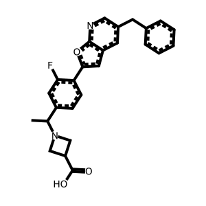 CC(c1ccc(-c2cc3cc(Cc4ccccc4)cnc3o2)c(F)c1)N1CC(C(=O)O)C1